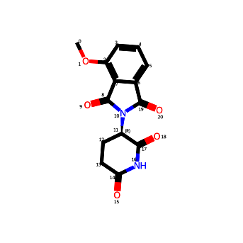 COc1cccc2c1C(=O)N([C@@H]1CCC(=O)NC1=O)C2=O